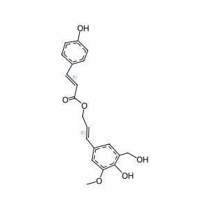 COc1cc(/C=C/COC(=O)/C=C/c2ccc(O)cc2)cc(CO)c1O